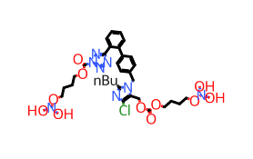 CCCCc1nc(Cl)c(COC(=O)OCCCCON(O)O)n1Cc1ccc(-c2ccccc2-c2nnn(C(=O)OCCCCON(O)O)n2)cc1